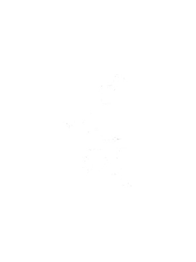 Cc1ccc(SCC(C)C2CC(=O)C(c3c(C)cc(C)cc3C)=C(O)C2)cc1